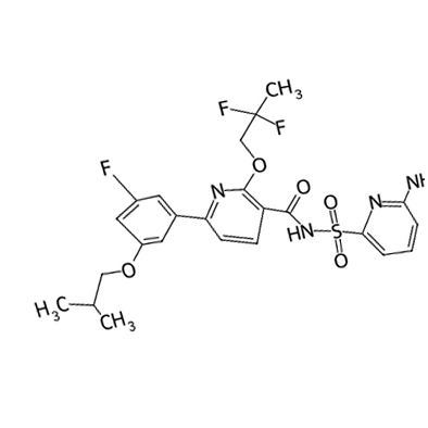 CC(C)COc1cc(F)cc(-c2ccc(C(=O)NS(=O)(=O)c3cccc(N)n3)c(OCC(C)(F)F)n2)c1